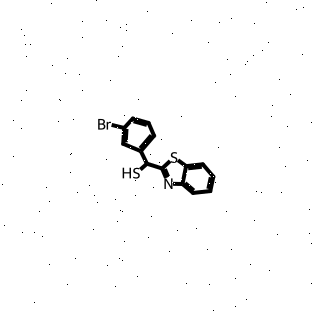 SC(c1cccc(Br)c1)c1nc2ccccc2s1